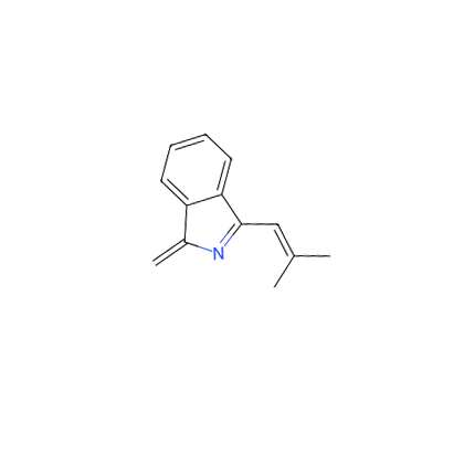 C=C1N=C(C=C(C)C)c2ccccc21